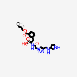 CCCCOC(=O)c1cccc2c1OB(O)[C@@H](NC(=O)Cn1cc(CN[C@H]3CCNC3)nn1)C2